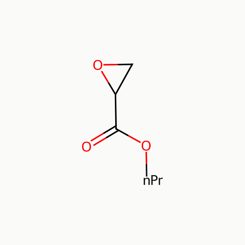 CCCOC(=O)C1CO1